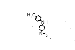 Cc1ccc(NC2CCC(N)CC2)cc1